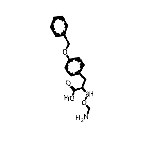 NCOBC(Cc1ccc(OCc2ccccc2)cc1)C(=O)O